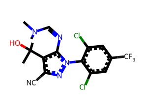 CN(C)/C=N\c1c(C(C)(C)O)c(C#N)nn1-c1c(Cl)cc(C(F)(F)F)cc1Cl